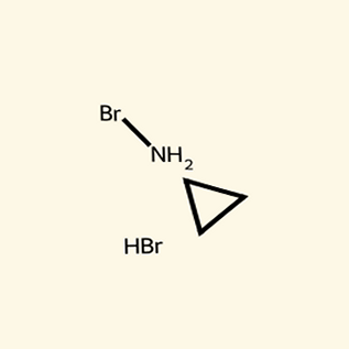 Br.C1CC1.NBr